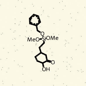 CO[Si](CCC1CCC(O)C(=O)C1)(OC)OCc1ccccc1